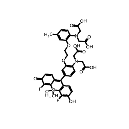 Cc1ccc(N(CC(=O)O)CC(=O)O)c(OCCOc2cc(C3=C4C=CC(=O)C(F)=C4[Si](C)(C)c4c3ccc(O)c4F)ccc2N(CC(=O)O)CC(=O)O)c1